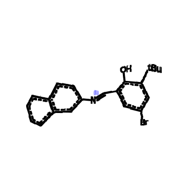 CC(C)(C)c1cc(Br)cc(/C=N/c2ccc3ccccc3c2)c1O